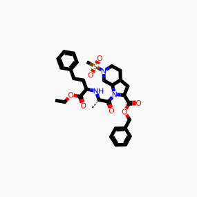 CCOC(=O)C(CCc1ccccc1)N[C@@H](C)C(=O)N1C(C(=O)OCc2ccccc2)CC2CCN(S(C)(=O)=O)CC21